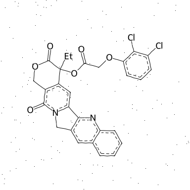 CCC1(OC(=O)COc2cccc(Cl)c2Cl)C(=O)OCc2c1cc1n(c2=O)Cc2cc3ccccc3nc2-1